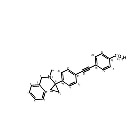 CN(Cc1ccccc1)C1(c2ccc(C#Cc3ccc(C(=O)O)cc3)cc2)CC1